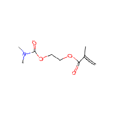 C=C(C)C(=O)OCCOC(=O)N(C)C